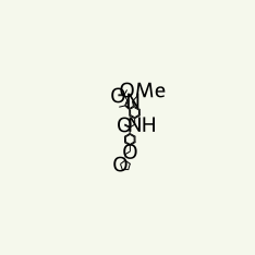 COC(=O)c1c(C)c2cc(NC(=O)c3ccc(OC[C@@H]4CCCO4)cc3)ccc2n1C